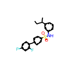 CCC(C)c1cccc(NS(=O)(=O)c2ccc(-c3ccc(F)cc3F)cc2)c1